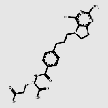 Nc1nc(O)c2c(n1)CCN2CCCc1ccc(C(=O)N[C@@H](CCC(=O)O)C(=O)O)cc1